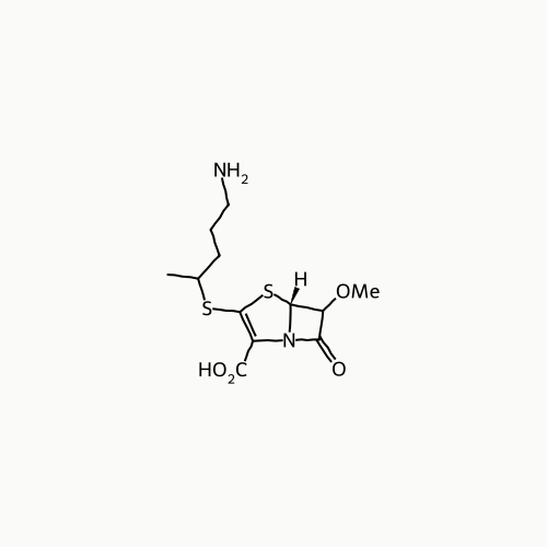 COC1C(=O)N2C(C(=O)O)=C(SC(C)CCCN)S[C@H]12